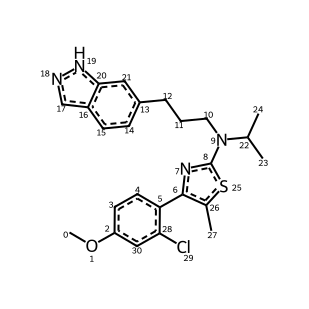 COc1ccc(-c2nc(N(CCCc3ccc4cn[nH]c4c3)C(C)C)sc2C)c(Cl)c1